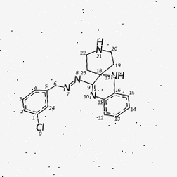 Clc1cccc(CN=NC2=Nc3ccccc3NC23CCNCC3)c1